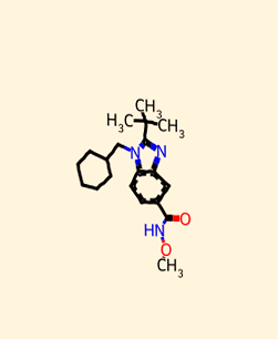 CONC(=O)c1ccc2c(c1)nc(C(C)(C)C)n2CC1CCCCC1